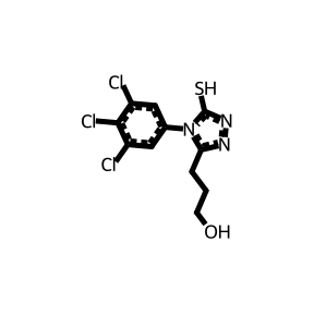 OCCCc1nnc(S)n1-c1cc(Cl)c(Cl)c(Cl)c1